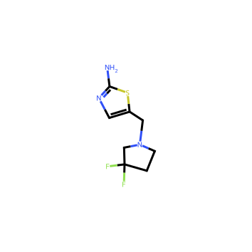 Nc1ncc(CN2CCC(F)(F)C2)s1